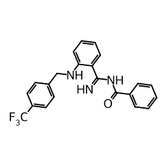 N=C(NC(=O)c1ccccc1)c1ccccc1NCc1ccc(C(F)(F)F)cc1